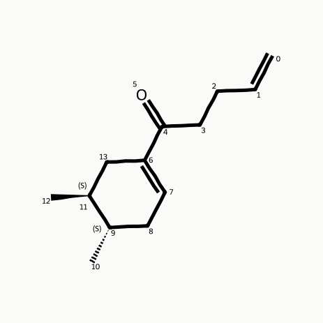 C=CCCC(=O)C1=CC[C@H](C)[C@@H](C)C1